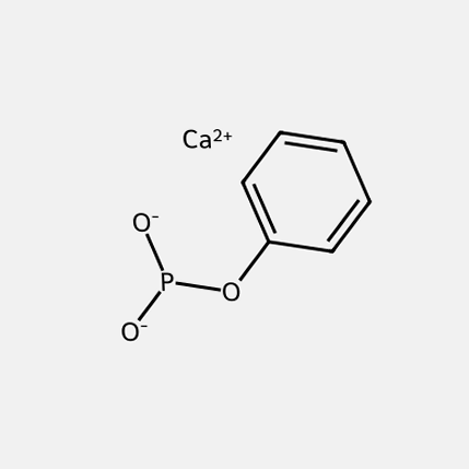 [Ca+2].[O-]P([O-])Oc1ccccc1